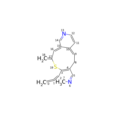 C=C=C/C1=C(\C=N/C)C/C=c2/ccnc/c2=C/C(=C)S1